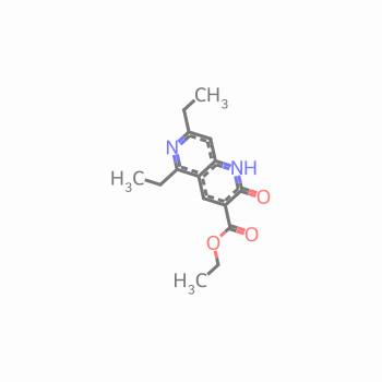 CCOC(=O)c1cc2c(CC)nc(CC)cc2[nH]c1=O